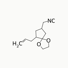 [C-]#[N+]CC1CC(CC=C)C2(C1)OCCO2